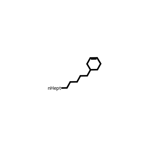 CCCCCCCCCCCCC1CC=CCC1